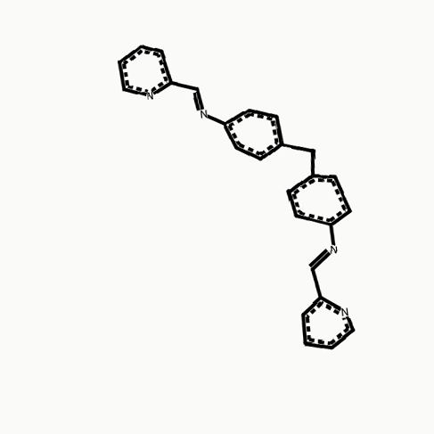 C(=Nc1ccc(Cc2ccc(N=Cc3ccccn3)cc2)cc1)c1ccccn1